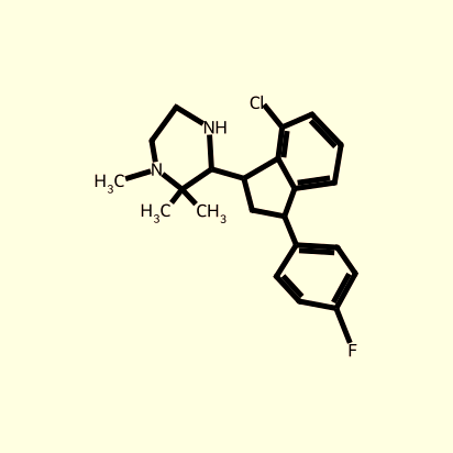 CN1CCNC(C2CC(c3ccc(F)cc3)c3cccc(Cl)c32)C1(C)C